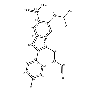 CC(C)Oc1cc2c(COC=O)c(-c3ccc(F)cc3)oc2cc1[N+](=O)[O-]